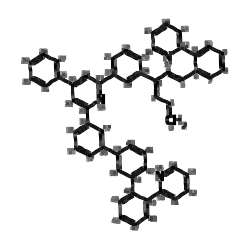 C=C/C=C(\C=C\c1ccccc1-c1ccccn1)c1cccc(-c2cc(-c3ccccc3)cc(-c3cccc(-c4cccc(-c5ccccc5-c5ccccn5)c4)c3)n2)c1